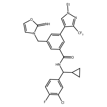 CCn1cc(-c2cc(Cn3ccoc3=N)cc(C(=O)NC(c3ccc(F)c(Cl)c3)C3CC3)c2)c(C(F)(F)F)n1